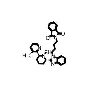 Cc1cccnc1[C@@H]1CCC[C@H](c2nc3ccccc3n2CCCCN2C(=O)c3ccccc3C2=O)N1C